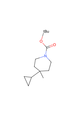 CC(C)(C)OC(=O)N1CCC(C)(C2CC2)CC1